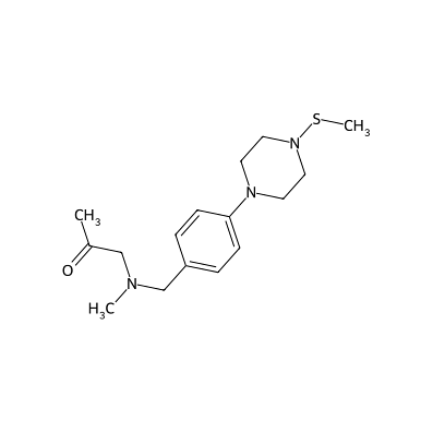 CSN1CCN(c2ccc(CN(C)CC(C)=O)cc2)CC1